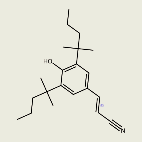 CCCC(C)(C)c1cc(/C=C/C#N)cc(C(C)(C)CCC)c1O